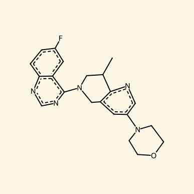 CC1CN(c2ncnc3ccc(F)cc23)Cc2cc(N3CCOCC3)cnc21